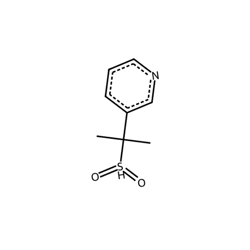 CC(C)(c1cccnc1)[SH](=O)=O